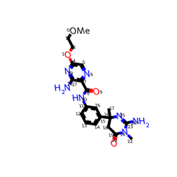 COCCOc1cnc(C(=O)Nc2cccc(C3(C)CC(=O)N(C)C(N)=N3)c2)c(N)n1